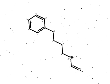 O=CNCCCCc1ccccc1